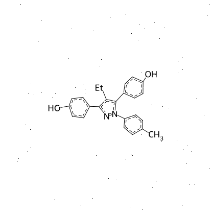 CCc1c(-c2ccc(O)cc2)nn(-c2ccc(C)cc2)c1-c1ccc(O)cc1